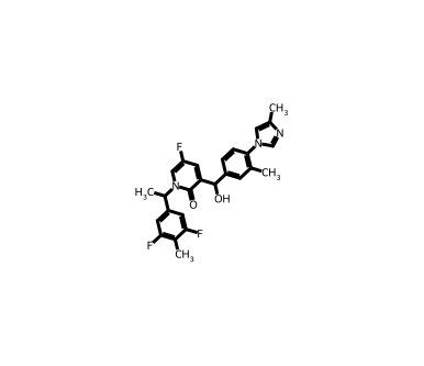 Cc1cn(-c2ccc(C(O)c3cc(F)cn(C(C)c4cc(F)c(C)c(F)c4)c3=O)cc2C)cn1